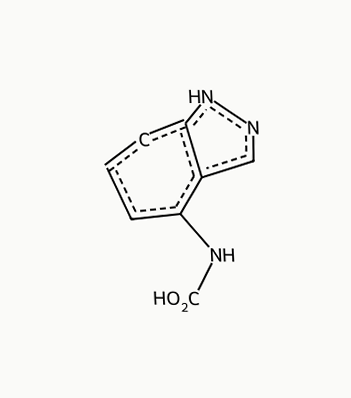 O=C(O)Nc1cccc2[nH]ncc12